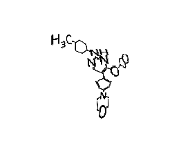 C[C@H]1CC[C@@H](Nc2ncc(-c3ccc(N4CCOCC4)cc3)c(OC3COC3)n2)CC1